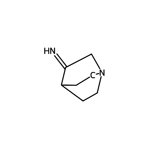 N=C1CN2CCC1CC2